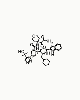 CC(C)(O)c1cnnn1[C@H]1C[C@@H](C(=O)NC2(C(=O)C(N)=O)CCOCC2)N(C(=O)C(CC2CCCCC2)NC(=O)c2cc3ccccc3[nH]2)C1